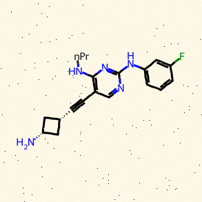 CCCNc1nc(Nc2cccc(F)c2)ncc1C#C[C@H]1C[C@@H](N)C1